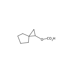 O=C(O)OC1CC12CCCC2